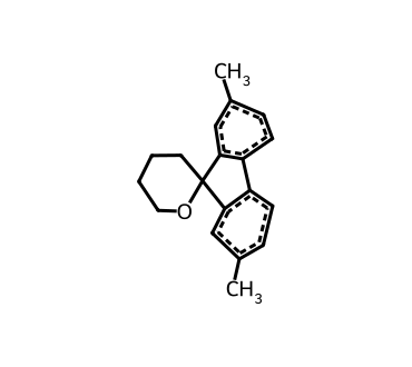 Cc1ccc2c(c1)C1(CCCCO1)c1cc(C)ccc1-2